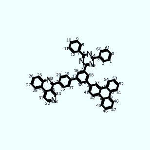 c1ccc(-c2nc(-c3ccccc3)nc(-c3cc(-c4ccc(-c5nc6ccccc6c6ccncc56)cc4)cc(-c4ccc5c6ccccc6c6ccccc6c5c4)c3)n2)cc1